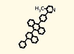 Cc1ccncc1-c1ccc(-c2c3ccccc3c(-c3ccc(-c4ccccc4)c4ccccc34)c3ccccc23)cc1